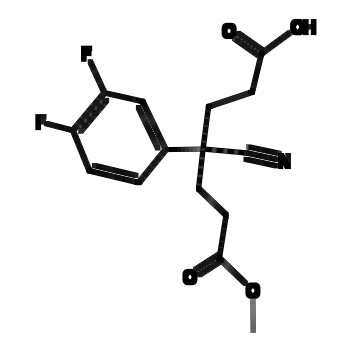 COC(=O)CCC(C#N)(CCC(=O)O)c1ccc(F)c(F)c1